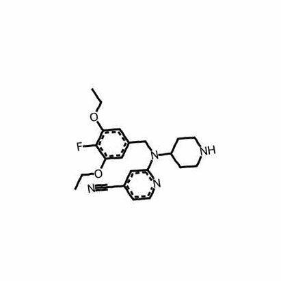 CCOc1cc(CN(c2cc(C#N)ccn2)C2CCNCC2)cc(OCC)c1F